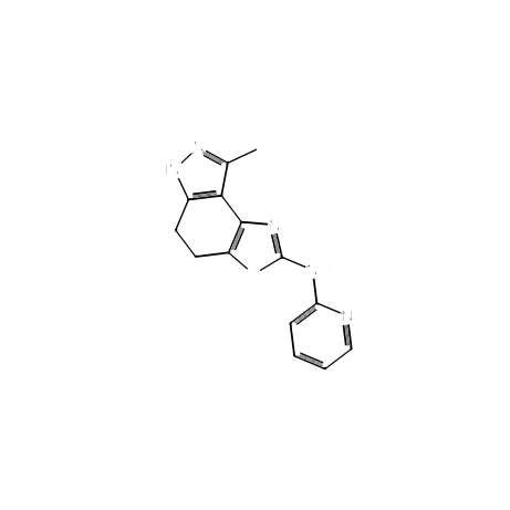 Cc1n[nH]c2c1-c1nc(Nc3ccccn3)sc1CC2